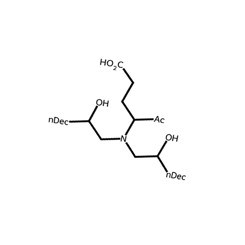 CCCCCCCCCCC(O)CN(CC(O)CCCCCCCCCC)C(CCC(=O)O)C(C)=O